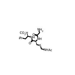 CC(=O)NCSC[C@H](NC(=O)CN)C(=O)N[C@@H](CC(C)C)C(=O)O